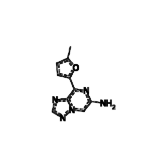 Cc1ccc(-c2nc(N)cn3ncnc23)o1